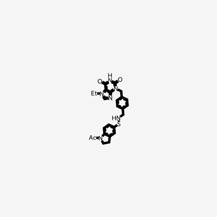 CCn1cnc2c1c(=O)[nH]c(=O)n2Cc1ccc(CNSc2ccc3c(c2)CCN3C(C)=O)cc1